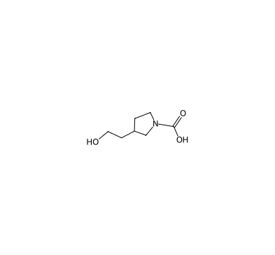 O=C(O)N1CCC(CCO)C1